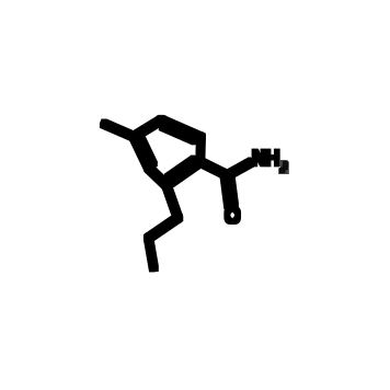 CCCc1cc(C)ccc1C(N)=O